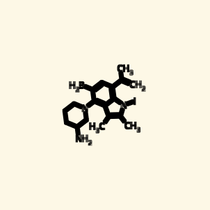 Bc1cc(C(=C)C)c2c(c(C)c(C)n2I)c1N1CCCC(N)C1